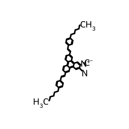 [C-]#[N+]c1cc2c3cc(/C=C/c4ccc(CCCCCC)cc4)ccc3c3ccc(/C=C/c4ccc(CCCCCC)cc4)cc3c2cc1C#N